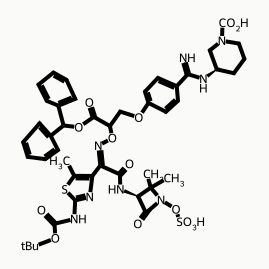 Cc1sc(NC(=O)OC(C)(C)C)nc1/C(=N/OC(COc1ccc(C(=N)N[C@@H]2CCCN(C(=O)O)C2)cc1)C(=O)OC(c1ccccc1)c1ccccc1)C(=O)N[C@@H]1C(=O)N(OS(=O)(=O)O)C1(C)C